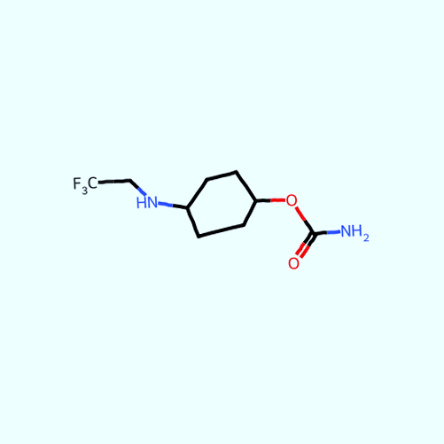 NC(=O)OC1CCC(NCC(F)(F)F)CC1